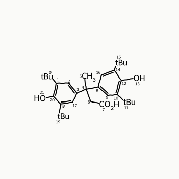 CC(C)(C)c1cc(C(C)(CC(=O)O)c2cc(C(C)(C)C)c(O)c(C(C)(C)C)c2)cc(C(C)(C)C)c1O